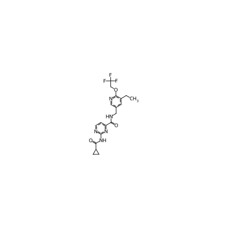 CCc1cc(CNC(=O)c2ccnc(NC(=O)C3CC3)n2)cnc1OCC(F)(F)F